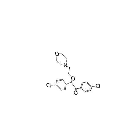 O=C(c1ccc(Cl)cc1)C(OCCN1CCOCC1)c1ccc(Cl)cc1